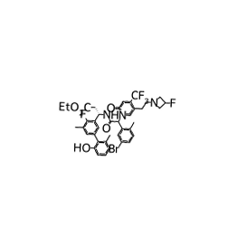 CCOC(=O)C[C@H](NC(=O)C(c1cc(Br)ccc1C)n1cc(CCN2CC(F)C2)c(C(F)(F)F)cc1=O)c1cc(-c2c(C)cccc2O)cc(C)c1F